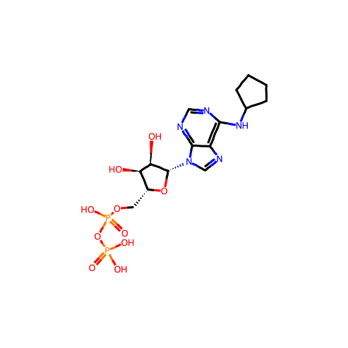 O=P(O)(O)OP(=O)(O)OC[C@H]1O[C@@H](n2cnc3c(NC4CCCC4)ncnc32)[C@H](O)[C@@H]1O